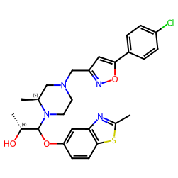 Cc1nc2cc(OC([C@@H](C)O)N3CCN(Cc4cc(-c5ccc(Cl)cc5)on4)C[C@@H]3C)ccc2s1